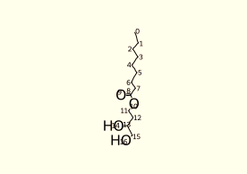 CCCCCCCCC(=O)OCCC(O)CO